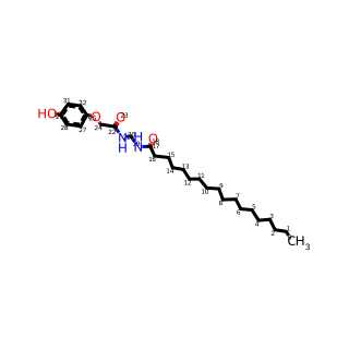 CCCCCCCCCCCCCCCCCC(=O)NCNC(=O)COc1ccc(O)cc1